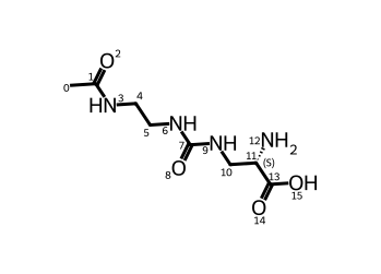 CC(=O)NCCNC(=O)NC[C@H](N)C(=O)O